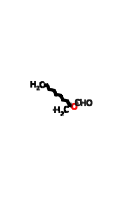 [CH2][C@H](CCCCCCC=C)OC=O